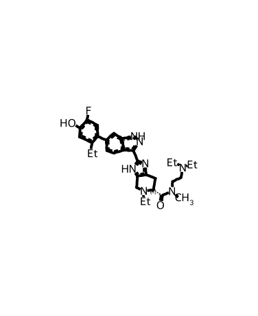 CCc1cc(O)c(F)cc1-c1ccc2c(-c3nc4c([nH]3)CN(CC)[C@@H](C(=O)N(C)CCN(CC)CC)C4)n[nH]c2c1